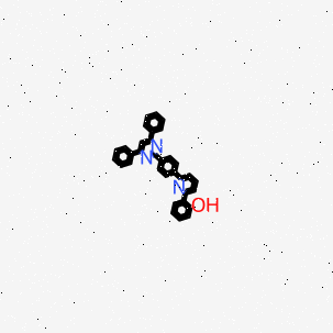 Oc1ccccc1-c1cccc(-c2ccc(-c3nc(-c4ccccc4)cc(-c4ccccc4)n3)cc2)n1